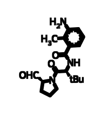 Cc1c(N)cccc1C(=O)N[C@H](C(=O)N1CCC[C@H]1C=O)C(C)(C)C